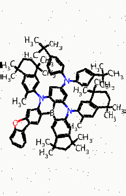 Cc1cc2c(cc1N1c3cc4c(cc3B3c5cc6c(cc5N(c5cc7c(cc5C)C(C)(C)CCC7(C)C)c5cc(N(c7ccc(C(C)(C)C)cc7)c7ccc(C(C)(C)C)cc7)cc1c53)oc1ccccc16)C(C)(C)CC4(C)C)C(C)(C)CCC2(C)C